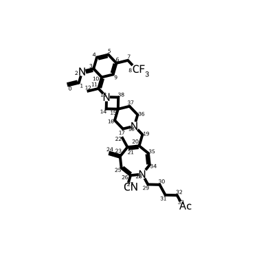 C=C/N=C1/C=CC(CC(F)(F)F)=C/C1=C(/C)N1CC2(CCN(CC3=C(\C)C(=C)/C=C(/C#N)N(CCCCC(C)=O)/C=C\3)CC2)C1